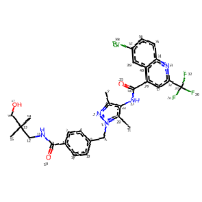 Cc1nn(Cc2ccc(C(=O)NCC(C)(C)CO)cc2)c(C)c1NC(=O)c1cc(C(F)(F)F)nc2ccc(Br)cc12